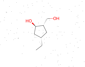 CC[C@H]1C[C@@H](CO)[C@H](O)C1